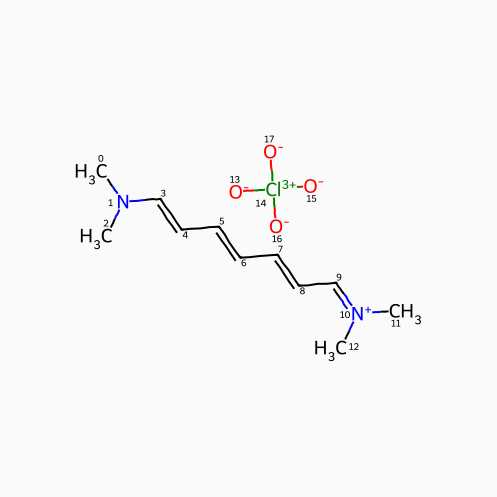 CN(C)C=CC=CC=CC=[N+](C)C.[O-][Cl+3]([O-])([O-])[O-]